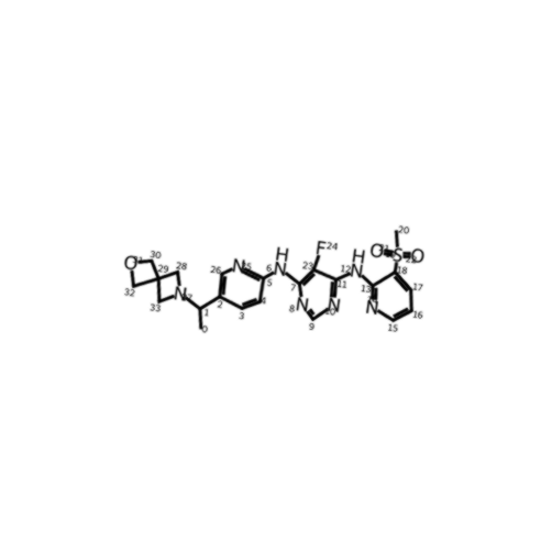 CC(c1ccc(Nc2ncnc(Nc3ncccc3S(C)(=O)=O)c2F)nc1)N1CC2(COC2)C1